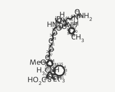 CCC1SC(C(=O)O)=C2SC1(C1(C)CCCCCCCCC1)C2(C)Nc1ccc(OCCOCCOCCOCC(=O)NC(C(=O)N[C@@H](CCCNC(N)=O)C(=O)Nc2ccc(C)cc2)C(C)C)c(OC)c1